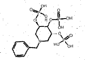 O=P(O)(O)OC1[C@H](OP(=O)(O)O)CN(Cc2ccccc2)C[C@H]1OP(=O)(O)O